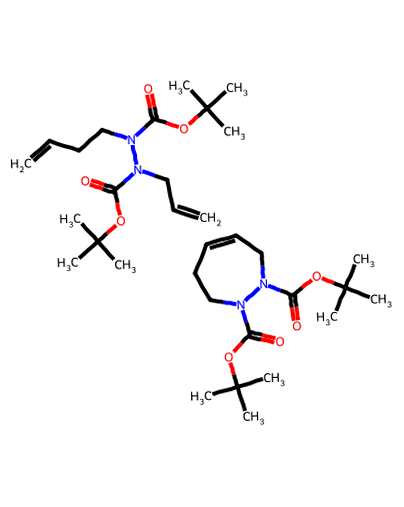 C=CCCN(C(=O)OC(C)(C)C)N(CC=C)C(=O)OC(C)(C)C.CC(C)(C)OC(=O)N1CC=CCCN1C(=O)OC(C)(C)C